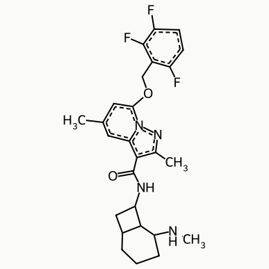 CNC1CCCC2CC(NC(=O)c3c(C)nn4c(OCc5c(F)ccc(F)c5F)cc(C)cc34)C21